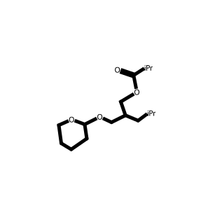 CC(C)CC(COC(=O)C(C)C)COC1CCCCO1